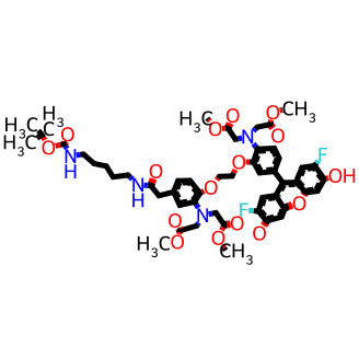 COC(=O)CN(CC(=O)OC)c1ccc(-c2c3cc(F)c(=O)cc-3oc3cc(O)c(F)cc23)cc1OCCOc1ccc(CC(=O)NCCCCCNC(=O)OC(C)(C)C)cc1N(CC(=O)OC)CC(=O)OC